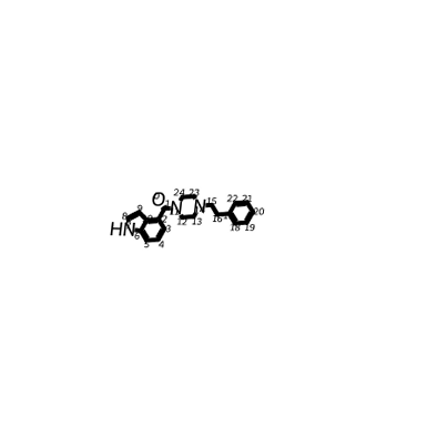 O=C(c1cccc2[nH]ccc12)N1CCN(CCc2ccccc2)CC1